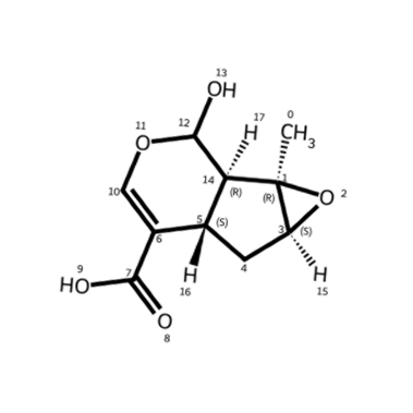 C[C@]12O[C@H]1C[C@@H]1C(C(=O)O)=COC(O)[C@H]12